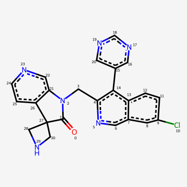 O=C1N(Cc2ncc3cc(Cl)ccc3c2-c2cncnc2)c2cnccc2C12CNC2